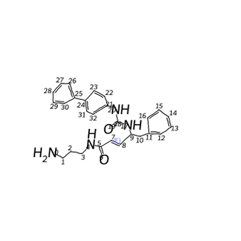 NCCCNC(=O)/C=C/C(Cc1ccccc1)NC(=O)Nc1ccc(-c2ccccc2)cc1